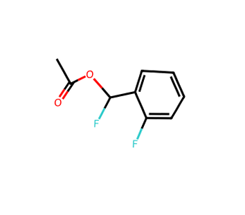 CC(=O)OC(F)c1ccccc1F